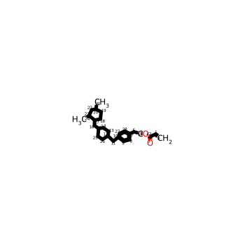 C=CC(=O)OCCc1ccc(CC2CCC(CC3CCC(C)CC3C)CC2)cc1